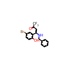 O=C(/C=C(/NCc1ccccc1)c1cc(Br)ccc1O)C(F)(F)F